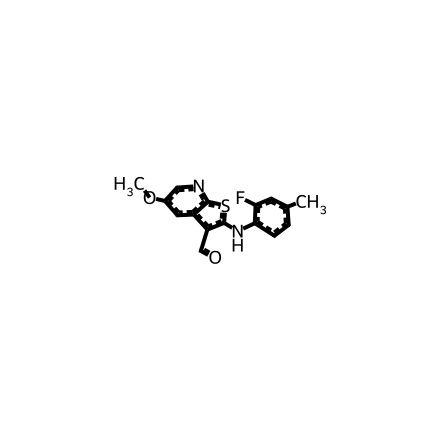 COc1cnc2sc(Nc3ccc(C)cc3F)c(C=O)c2c1